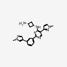 Cn1cc(-c2cccc(-c3ncc(-c4ccn(C)n4)c(N[C@H]4C[C@@H](N)C4)n3)c2)cn1